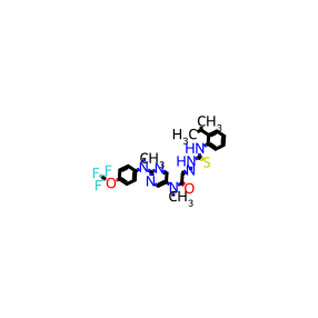 CC(C)c1ccccc1NC(=S)N/N=C/C(=O)N(C)c1cnc(N(C)c2ccc(OC(F)(F)F)cc2)nc1